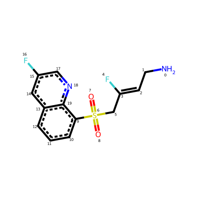 NC/C=C(\F)CS(=O)(=O)c1cccc2cc(F)cnc12